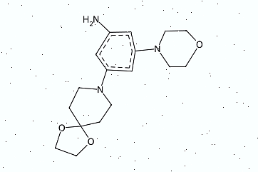 Nc1cc(N2CCOCC2)cc(N2CCC3(CC2)OCCO3)c1